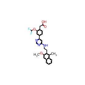 COc1cc2ccccc2c(C)c1CCNc1cc(-c2ccc(CC(=O)O)c(OC(F)F)c2)ncn1